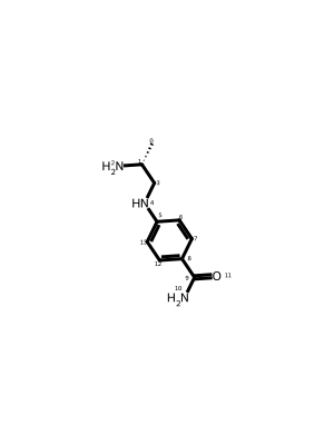 C[C@@H](N)CNc1ccc(C(N)=O)cc1